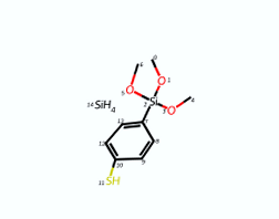 CO[Si](OC)(OC)c1ccc(S)cc1.[SiH4]